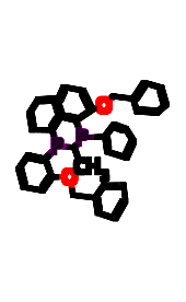 CC(P(c1ccccc1)c1ccccc1OCc1ccccc1)P(c1ccccc1)c1ccccc1OCc1ccccc1